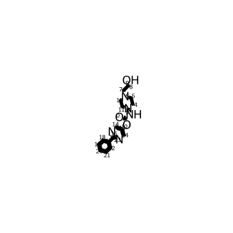 O=C(NN1CCN(CCO)CC1)Oc1cnc(-c2ccccc2)nc1